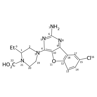 CCC1CN(c2nc(N)nc3c2oc2ccc(Cl)cc23)CCN1C(=O)O